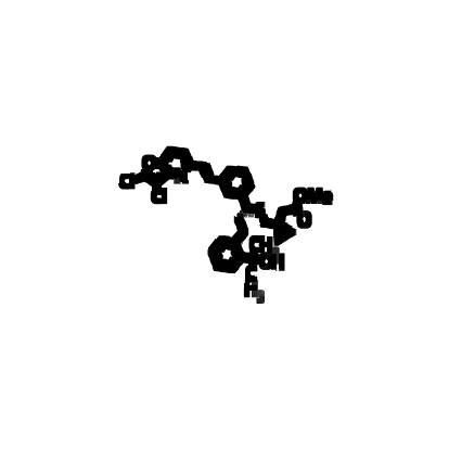 COC(=O)CC1(CS[C@H](CCc2ccccc2C(C)(C)O)c2cccc(C=Cc3ccc4oc(Cl)c(Cl)c4n3)c2)CC1